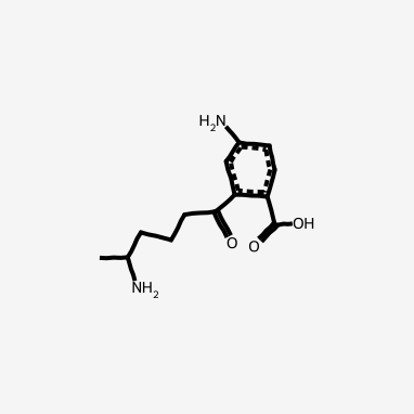 CC(N)CCCC(=O)c1cc(N)ccc1C(=O)O